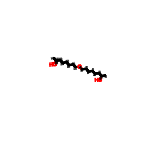 CC(O)CCCCCCOCCCCCCC(C)O